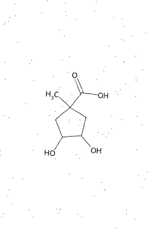 CC1(C(=O)O)CC(O)C(O)C1